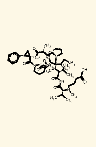 CC[C@H](C)[C@]([C@@H](CC=O)OC)(N(C)[C@H](C(=O)NC(=O)[C@H](C(C)C)N(C)CCCC(=O)O)C(C)C)N1CCC[C@H]1[C@H](OC)[C@@H](C)C(=O)N[C@@]1(C(=O)N2CCCCO2)C[C@@H]1c1ccccc1